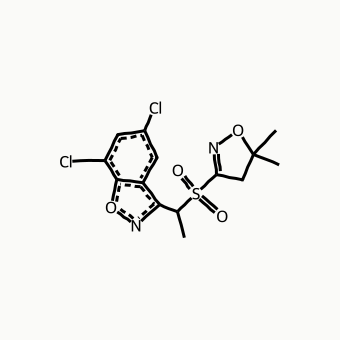 CC(c1noc2c(Cl)cc(Cl)cc12)S(=O)(=O)C1=NOC(C)(C)C1